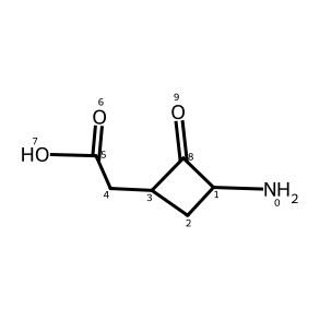 NC1CC(CC(=O)O)C1=O